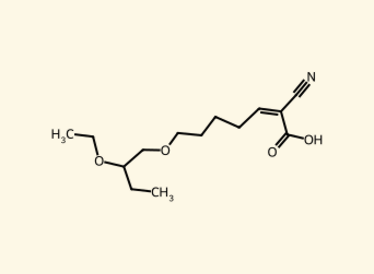 CCOC(CC)COCCCCC=C(C#N)C(=O)O